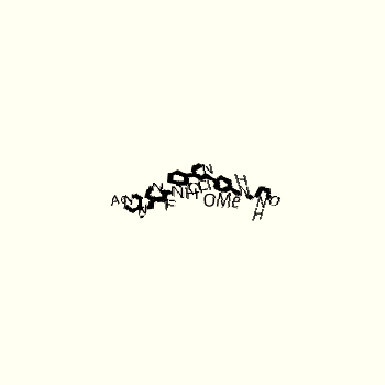 COc1cc(-c2nccc(-c3cccc(Nc4nccc(CN(C)C5CCN(C(C)=O)CC5)c4F)c3Cl)c2Cl)ccc1CNC[C@H]1CCC(=O)N1